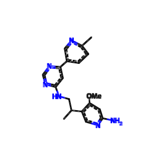 COc1cc(N)ncc1C(C)CNc1cc(-c2ccc(C)nc2)ncn1